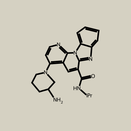 CC(C)NC(=O)c1cc2c(N3CCCC(N)C3)ccnc2n2c1nc1ccccc12